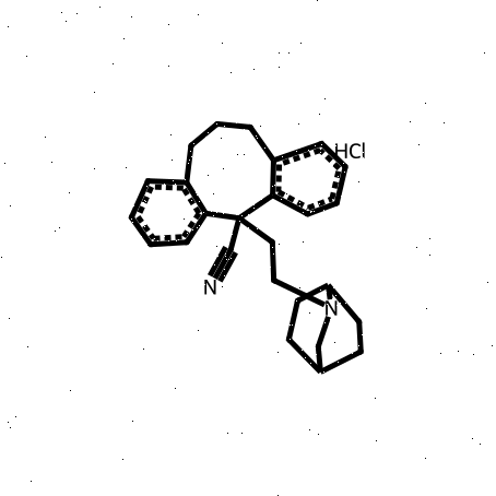 Cl.N#CC1(CCN2CC3CCC2CC3)c2ccccc2CCCc2ccccc21